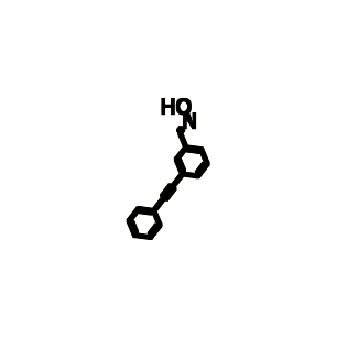 ON=Cc1cccc(C#Cc2ccccc2)c1